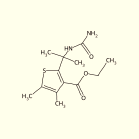 CCOC(=O)c1c(C(C)(C)NC(N)=O)sc(C)c1C